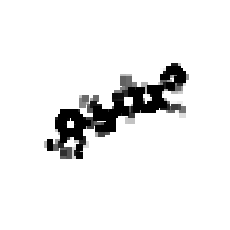 Cc1cc(NC(=O)c2cnn(-c3cccc(N)c3SN)c2C(F)(F)F)c(C)nc1-n1nccn1